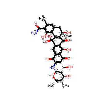 CO[C@@H]1[C@@H](O)[C@@H](CO)[C@@H](NC2=CC(=O)c3c(cc4c(c3O)C(=O)[C@]3(OC)[C@H](O)Cc5cc(C)c(C(N)=O)c(O)c5[C@]3(O)C4=O)C2=O)O[C@H]1C